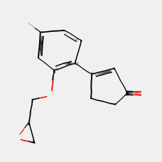 O=C1C=C(c2ccc(F)cc2OCC2CO2)CC1